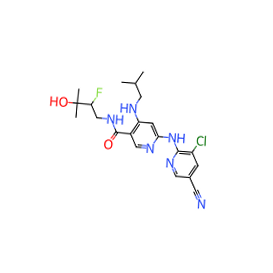 CC(C)CNc1cc(Nc2ncc(C#N)cc2Cl)ncc1C(=O)NCC(F)C(C)(C)O